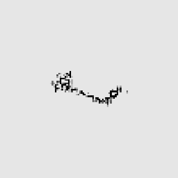 CC(C)O[C@@H]1OC(C(O)NCCOCCOCCOCCn2cc(-c3ccc(N)cc3)nn2)[C@@H](OC(C)C)[C@H](O)[C@@H]1O